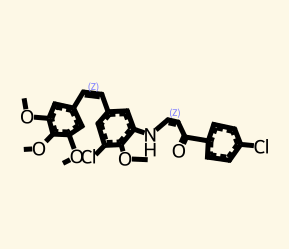 COc1cc(/C=C\c2cc(Cl)c(OC)c(N/C=C\C(=O)c3ccc(Cl)cc3)c2)cc(OC)c1OC